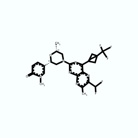 Cc1nc2nc(N3C[C@@H](C)O[C@@H](c4ccc(=O)n(C)c4)C3)nc(C34CC(C(F)(F)F)(C3)C4)c2nc1C(F)F